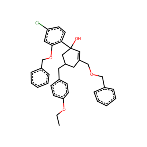 CCOc1ccc(CC2CC(COCc3ccccc3)=CC(O)(c3ccc(Cl)cc3OCc3ccccc3)C2)cc1